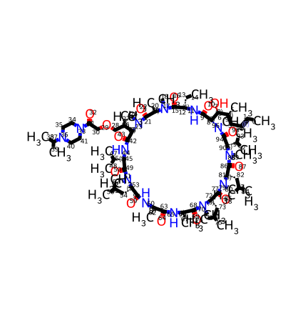 C/C=C/C[C@@H](C)[C@@H](O)[C@H]1C(=O)N[C@@H](CC)C(=O)N(C)[C@H](C)C(=O)N(C)[C@@H]([C@H](C)COCC(=O)N2CCN(C(C)C)CC2)C(=O)N[C@@H](C(C)C)C(=O)N(C)[C@@H](CC(C)C)C(=O)N[C@@H](C)C(=O)N[C@H](C)C(=O)N(C)[C@@H](CC(C)C)C(=O)N(C)[C@@H](CC(C)C)C(=O)N(C)[C@@H](C(C)C)C(=O)N1C